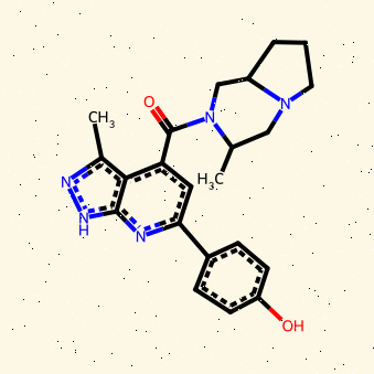 Cc1n[nH]c2nc(-c3ccc(O)cc3)cc(C(=O)N3CC4CCCN4CC3C)c12